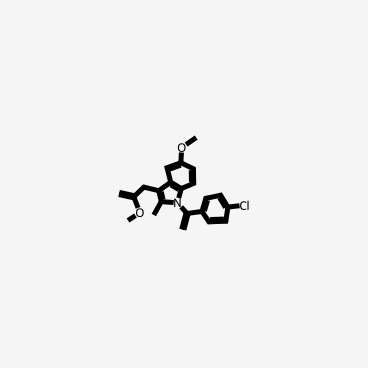 C=C(Cc1c(C)n(C(=C)c2ccc(Cl)cc2)c2ccc(OC)cc12)OC